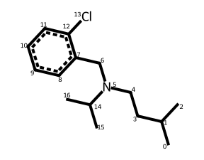 CC(C)CCN(Cc1ccccc1Cl)C(C)C